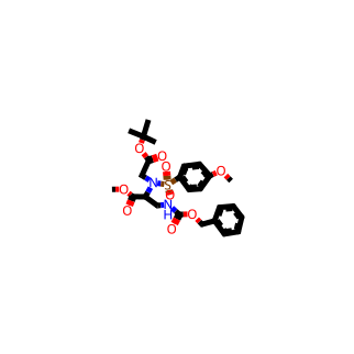 COC(=O)C(CNC(=O)OCc1ccccc1)N(CC(=O)OC(C)(C)C)S(=O)(=O)c1ccc(OC)cc1